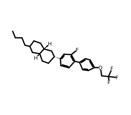 CCCCC1CC[C@@H]2C[C@H](c3ccc(-c4ccc(OCC(F)(F)F)cc4)c(F)c3)CC[C@@H]2C1